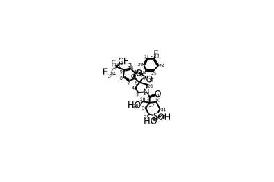 O=C(N1CCC(c2ccc(C(F)(C(F)(F)F)C(F)(F)F)cc2)(S(=O)(=O)c2ccc(F)cc2)C1)C1(CO)CCS(O)(O)CC1